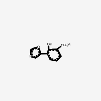 O=C(O)c1cccc(-c2cnco2)c1O